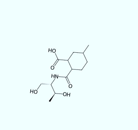 CC1CCC(C(=O)N[C@@H](CO)[C@H](C)O)C(C(=O)O)C1